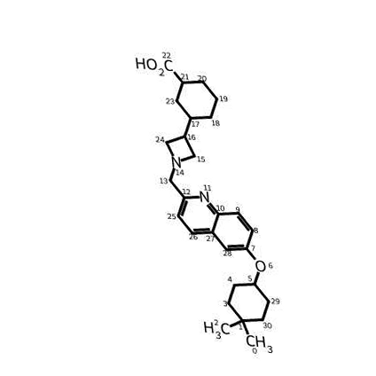 CC1(C)CCC(Oc2ccc3nc(CN4CC(C5CCCC(C(=O)O)C5)C4)ccc3c2)CC1